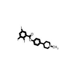 CN1CCC(c2ccc(OC(=O)c3cc(I)cc(I)c3I)cc2)CC1